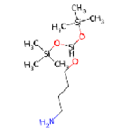 C[Si](C)(C)O[SiH](OCCCCN)O[Si](C)(C)C